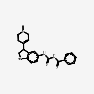 CN1CC=C(C2CNc3ccc(NC(=S)NC(=O)c4ccccc4)cc32)CC1